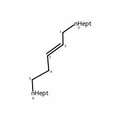 [CH2]CCCCCCC/C=C/CCCCCCCC[CH2]